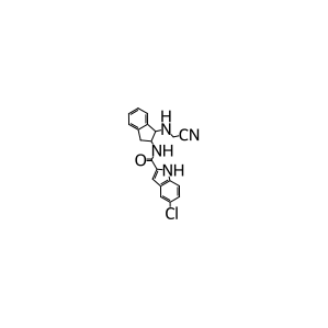 N#CCNC1c2ccccc2CC1NC(=O)c1cc2cc(Cl)ccc2[nH]1